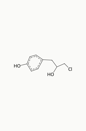 Oc1ccc(CC(O)CCl)cc1